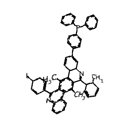 Cc1c2c(c(C)c3c1c(C1=CCC(I)C=C1)nc1ccccc13)C(C1C=CC=CC1C)=NC1C=C(c3ccc(P(c4ccccc4)c4ccccc4)cc3)C=CC21